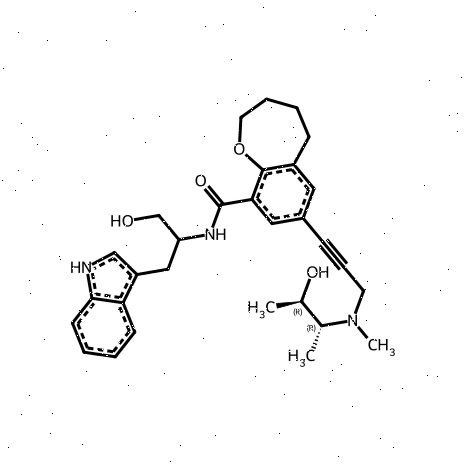 C[C@H]([C@@H](C)O)N(C)CC#Cc1cc2c(c(C(=O)NC(CO)Cc3c[nH]c4ccccc34)c1)OCCCC2